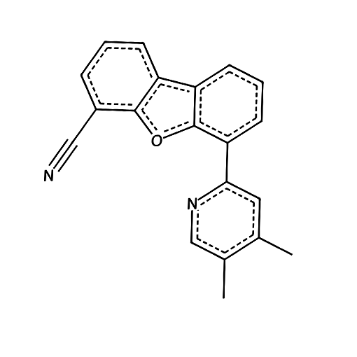 Cc1cnc(-c2cccc3c2oc2c(C#N)cccc23)cc1C